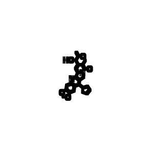 C=C1OCc2c(cc3n(c2=O)Cc2c-3nc3cc4c(cc3c2C2=CC=CC2)OCO4)C1O